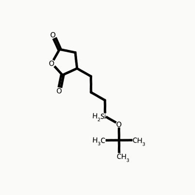 CC(C)(C)O[SiH2]CCCC1CC(=O)OC1=O